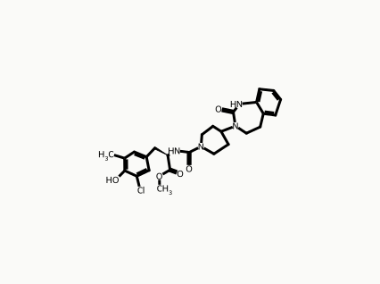 COC(=O)[C@@H](Cc1cc(C)c(O)c(Cl)c1)NC(=O)N1CCC(N2CCc3ccccc3NC2=O)CC1